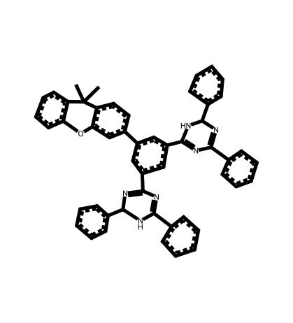 CC1(C)c2ccccc2Oc2cc(-c3cc(C4=NC(c5ccccc5)NC(c5ccccc5)=N4)cc(C4=NC(c5ccccc5)=NC(c5ccccc5)N4)c3)ccc21